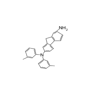 Cc1cccc(N(c2cccc(C)c2)c2ccc3c(c2)Cc2cc(N)ccc2-3)c1